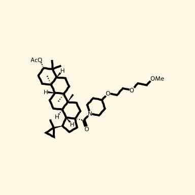 COCCOCCOC1CCN(C(=O)[C@]23CC[C@@H](C4(C)CC4)[C@@H]2[C@H]2CC[C@@H]4[C@@]5(C)CC[C@H](OC(C)=O)C(C)(C)[C@@H]5CC[C@@]4(C)[C@]2(C)CC3)CC1